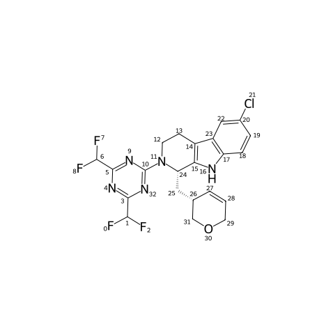 FC(F)c1nc(C(F)F)nc(N2CCc3c([nH]c4ccc(Cl)cc34)[C@@H]2C[C@@H]2C=CCOC2)n1